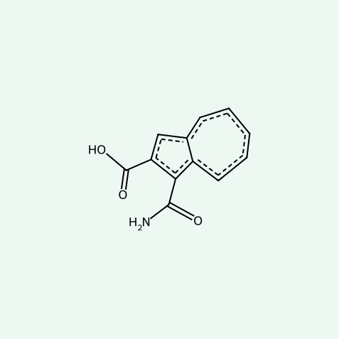 NC(=O)c1c(C(=O)O)cc2cccccc1-2